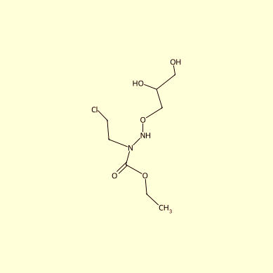 CCOC(=O)N(CCCl)NOCC(O)CO